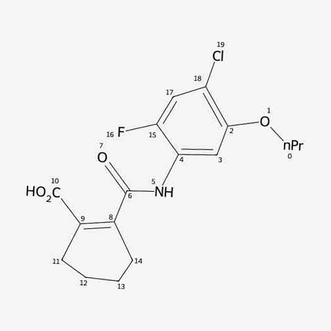 CCCOc1cc(NC(=O)C2=C(C(=O)O)CCCC2)c(F)cc1Cl